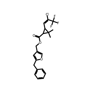 CC1(C)C(/C=C(/Cl)C(F)(F)F)C1C(=O)OCc1coc(Cc2ccccc2)c1